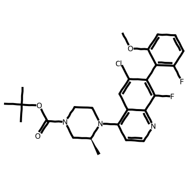 COc1cccc(F)c1-c1c(Cl)cc2c(N3CCN(C(=O)OC(C)(C)C)C[C@@H]3C)ccnc2c1F